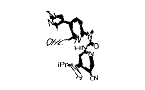 CC(C)Nc1cc(NC(=O)N(C)c2ccc(-c3cnn(C)c3)c(C=O)n2)ncc1C#N